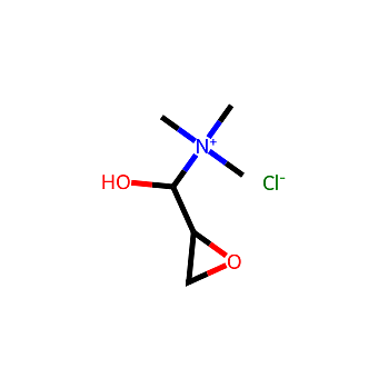 C[N+](C)(C)C(O)C1CO1.[Cl-]